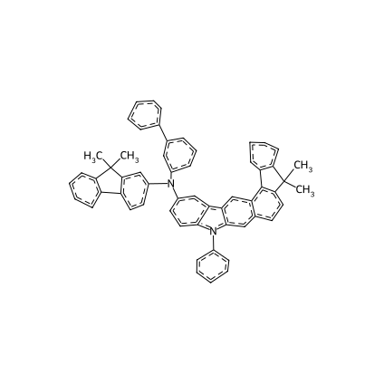 CC1(C)c2ccccc2-c2ccc(N(c3cccc(-c4ccccc4)c3)c3ccc4c(c3)c3cc5c6c(ccc5cc3n4-c3ccccc3)C(C)(C)c3ccccc3-6)cc21